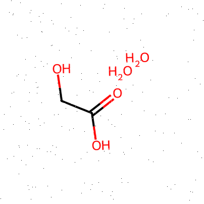 O.O.O=C(O)CO